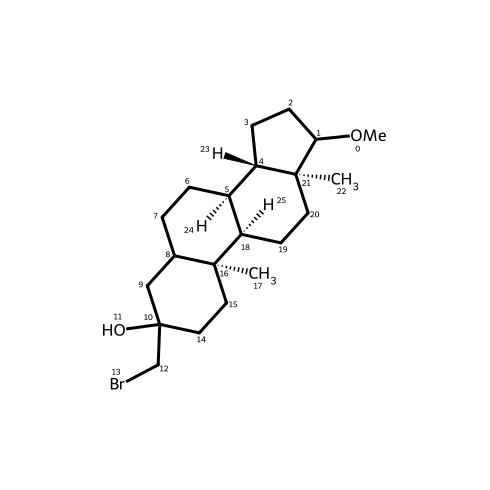 COC1CC[C@H]2[C@@H]3CCC4CC(O)(CBr)CC[C@]4(C)[C@@H]3CC[C@]12C